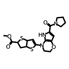 COC(=O)C1CC2SC(N3CCOc4cc(C(=O)N5CCCC5)[nH]c43)=CC2S1